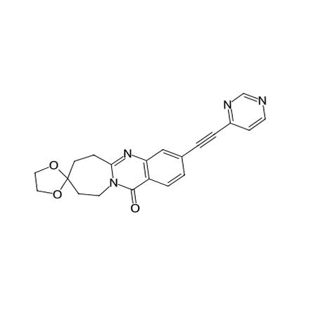 O=c1c2ccc(C#Cc3ccncn3)cc2nc2n1CCC1(CC2)OCCO1